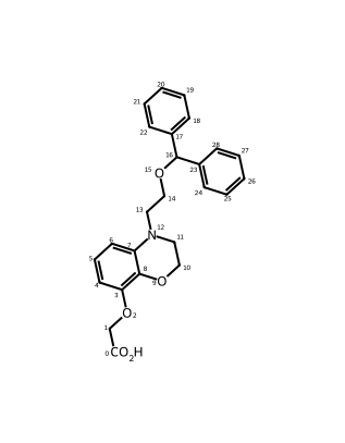 O=C(O)COc1cccc2c1OCCN2CCOC(c1ccccc1)c1ccccc1